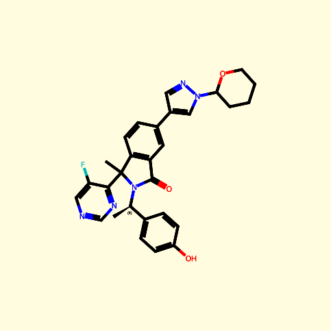 C[C@H](c1ccc(O)cc1)N1C(=O)c2cc(-c3cnn(C4CCCCO4)c3)ccc2C1(C)c1ncncc1F